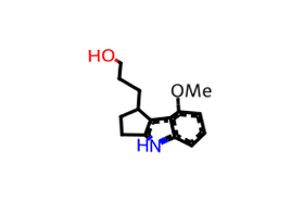 COc1cccc2[nH]c3c(c12)C(CCCO)CC3